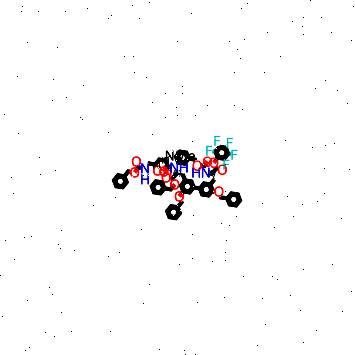 CN[C@@H](C[C@@H](O)CNC(=O)OCc1ccccc1)C(=O)N[C@@H](Cc1cc(OCc2ccccc2)cc(-c2ccc(OCc3ccccc3)c(C[C@H](NC(=O)OCc3ccccc3)C(=O)Oc3c(F)c(F)c(F)c(F)c3F)c2)c1)C(=O)OCc1ccccc1